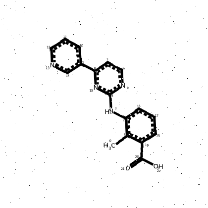 Cc1c(Nc2nccc(-c3cccnc3)n2)cccc1C(=O)O